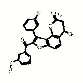 C=C1C=C(C)c2ccc3oc(C(=O)c4cccc(OCC)c4)c(-c4cccc(Br)c4)c3c2O1